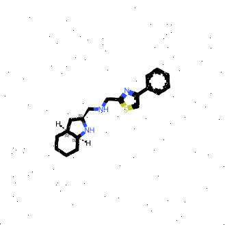 c1ccc(-c2csc(CNC[C@@H]3C[C@@H]4CCCC[C@@H]4N3)n2)cc1